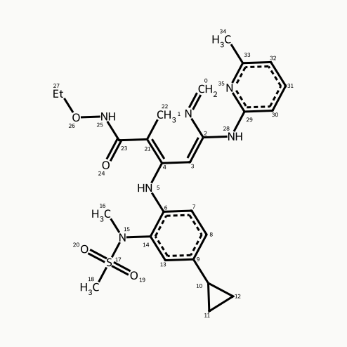 C=N/C(=C\C(Nc1ccc(C2CC2)cc1N(C)S(C)(=O)=O)=C(/C)C(=O)NOCC)Nc1cccc(C)n1